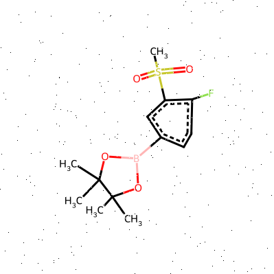 CC1(C)OB(c2ccc(F)c(S(C)(=O)=O)c2)OC1(C)C